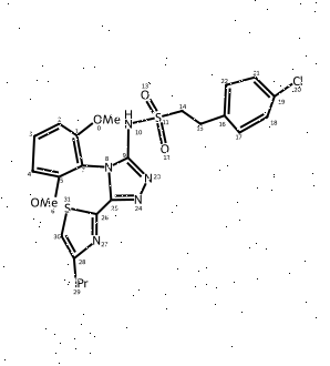 COc1cccc(OC)c1-n1c(NS(=O)(=O)CCc2ccc(Cl)cc2)nnc1-c1nc(C(C)C)cs1